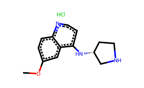 COc1ccc2nccc(N[C@@H]3CCNC3)c2c1.Cl